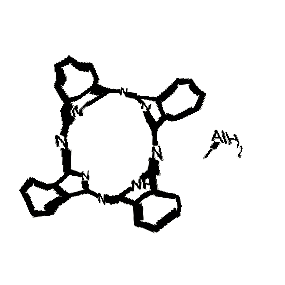 [AlH2][I].c1ccc2c(c1)-c1nc-2nc2[nH]c(nc3nc(nc4[nH]c(n1)c1ccccc41)-c1ccccc1-3)c1ccccc21